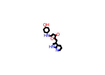 O=C1C=C(N[C@H]2CC[C@H](O)CC2)OC1=Cc1c[nH]c2ncccc12